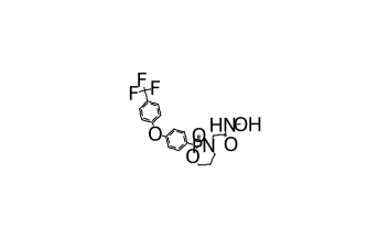 O=C(CN1CCCOP1(=O)c1ccc(Oc2ccc(C(F)(F)F)cc2)cc1)NO